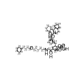 O=C(O[C@H]1C[N+]2(Cc3cc(C(O)CNCCCCCCOCCCCc4ccccc4)ccc3OP(=O)(O)O)CCC1CC2)N1CCc2ccccc2[C@@H]1C1CCCCC1